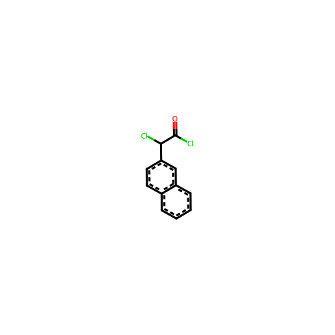 O=C(Cl)C(Cl)c1ccc2ccccc2c1